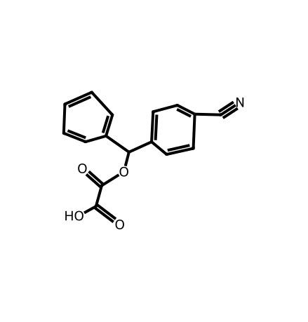 N#Cc1ccc(C(OC(=O)C(=O)O)c2ccccc2)cc1